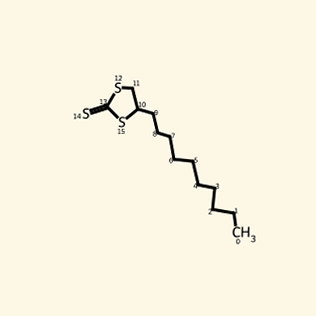 CCCCCCCCCCC1CSC(=S)S1